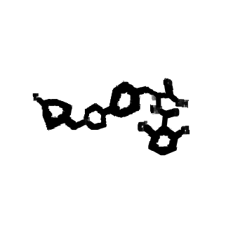 O=C(N[C@@H](Cc1ccc(C2CCN(Cc3ccc(F)cc3)CC2)cc1)C(=O)O)c1c(Cl)cccc1Cl